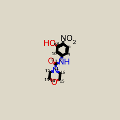 O=C(Nc1ccc([N+](=O)[O-])c(O)c1)N1CCOCC1